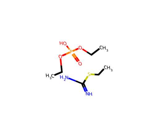 CCOP(=O)(O)OCC.CCSC(=N)N